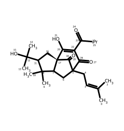 CC(C)=CCC12CC3C(C)(C)C(C(C)(C)O)C[C@]3(C1=O)C(O)=C(C(=O)C(C)C)C2=O